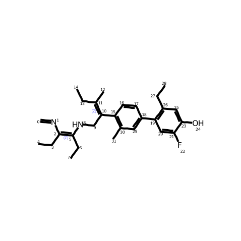 C=N/C(CC)=C(/CC)NC/C(=C(/C)CC)c1ccc(-c2cc(F)c(O)cc2CC)cc1C